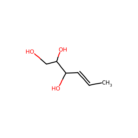 C/C=C/C(O)C(O)CO